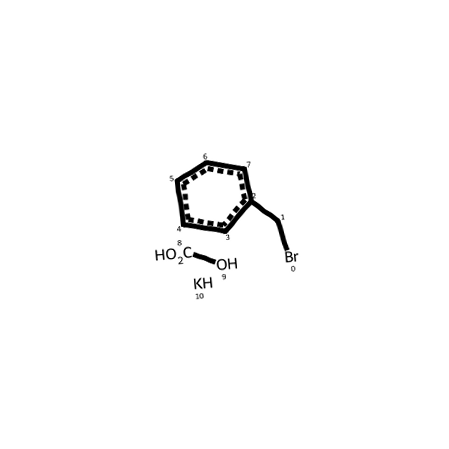 BrCc1ccccc1.O=C(O)O.[KH]